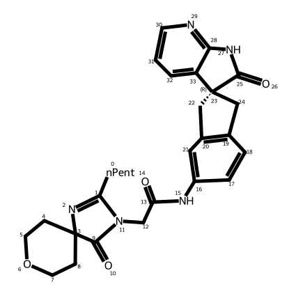 CCCCCC1=NC2(CCOCC2)C(=O)N1CC(=O)Nc1ccc2c(c1)C[C@@]1(C2)C(=O)Nc2ncccc21